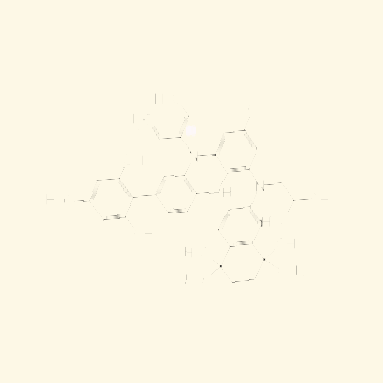 C=C/C(=C\C)N1c2cc(-c3c(C)cc(C)cc3C)ccc2Bc2c(N(CC(C)C)c3ccc4c(c3)C(C)(C)CCC4(C)C)cc(C)cc21